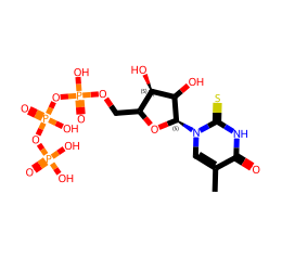 Cc1cn([C@H]2OC(COP(=O)(O)OP(=O)(O)OP(=O)(O)O)[C@@H](O)C2O)c(=S)[nH]c1=O